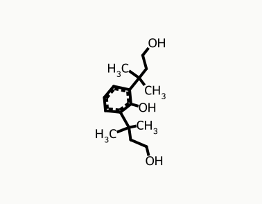 CC(C)(CCO)c1cccc(C(C)(C)CCO)c1O